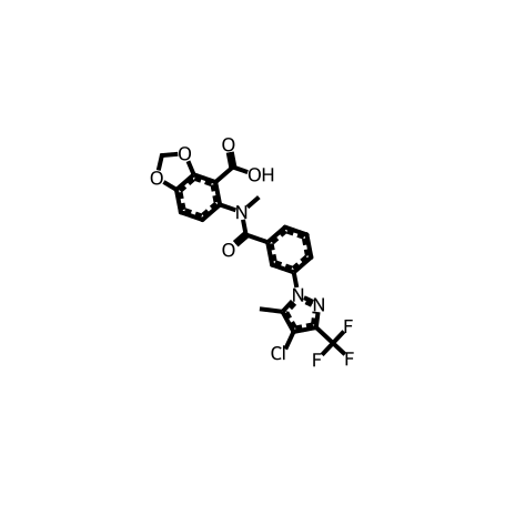 Cc1c(Cl)c(C(F)(F)F)nn1-c1cccc(C(=O)N(C)c2ccc3c(c2C(=O)O)OCO3)c1